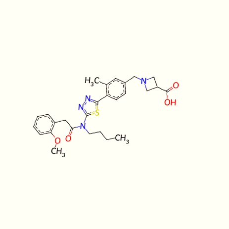 CCCCN(C(=O)Cc1ccccc1OC)c1nnc(-c2ccc(CN3CC(C(=O)O)C3)cc2C)s1